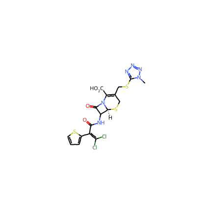 Cn1nnnc1SCC1=C(C(=O)O)N2C(=O)C(NC(=O)C(=C(Cl)Cl)c3cccs3)[C@@H]2SC1